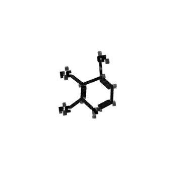 FC(F)(F)C1=[C][C]=[N+]C(C(F)(F)F)=C1C(F)(F)F